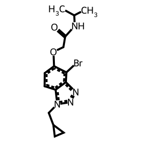 CC(C)NC(=O)COc1ccc2c(nnn2CC2CC2)c1Br